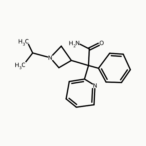 CC(C)N1CC(C(C(N)=O)(c2ccccc2)c2ccccn2)C1